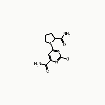 NC(=O)c1cc(N2CCCC2C(N)=O)nc(Cl)n1